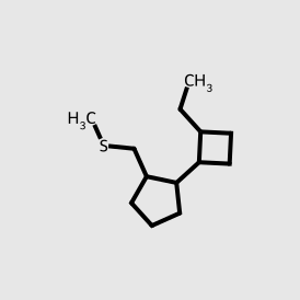 CCC1CCC1C1CCCC1CSC